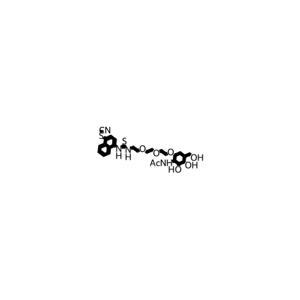 CC(=O)NC1C(OCCOCCOCCNC(=S)Nc2ccc(SC#N)c3ccccc23)CC(CO)C(O)C1O